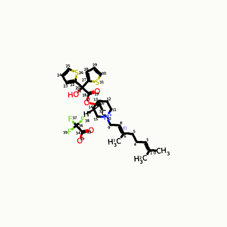 CC(C)=CCC/C(C)=C/C[N+]12CCC(CC1)[C@@H](OC(=O)C(O)(c1cccs1)c1cccs1)C2.O=C([O-])C(F)(F)F